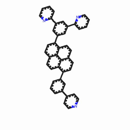 c1ccc(-c2cc(-c3ccccn3)cc(-c3ccc4ccc5c(-c6cccc(-c7ccncc7)c6)ccc6ccc3c4c65)c2)nc1